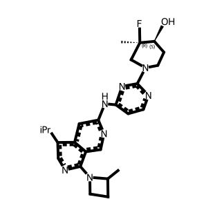 CC(C)c1cnc(N2CCC2C)c2cnc(Nc3ccnc(N4CC[C@H](O)[C@](C)(F)C4)n3)cc12